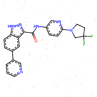 O=C(Nc1ccc(N2CCC(F)(F)C2)nc1)c1n[nH]c2ccc(-c3cccnc3)cc12